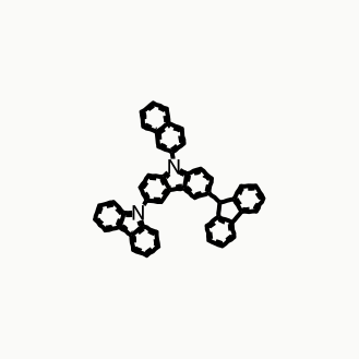 c1ccc2c(c1)-c1ccccc1C2c1ccc2c(c1)c1cc(-n3c4ccccc4c4ccccc43)ccc1n2-c1ccc2ccccc2c1